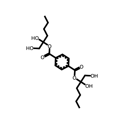 CCCCC(O)(CO)OC(=O)c1ccc(C(=O)OC(O)(CO)CCCC)cc1